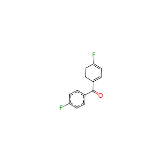 O=C(C1=CC=C(F)CC1)c1ccc(F)cc1